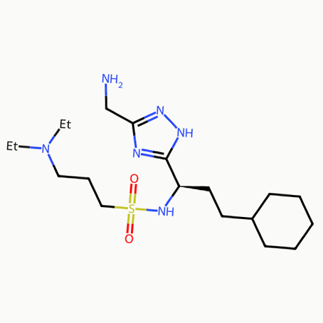 CCN(CC)CCCS(=O)(=O)N[C@H](CCC1CCCCC1)c1nc(CN)n[nH]1